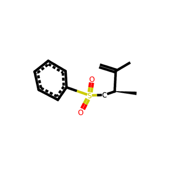 C=C(C)[C@@H](C)CS(=O)(=O)c1ccccc1